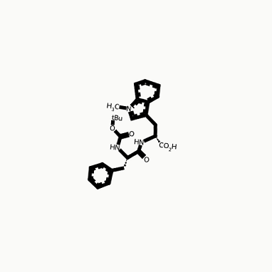 Cn1cc(C[C@@H](NC(=O)[C@H](Cc2ccccc2)NC(=O)OC(C)(C)C)C(=O)O)c2ccccc21